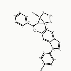 Cc1cc2c(cnn2-c2ccc(F)cc2)cc1[C@]12CNC[C@H]1[C@@H]2Cc1ccccc1